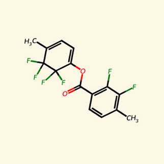 CC1=CC=C(OC(=O)c2ccc(C)c(F)c2F)C(F)(F)C1(F)F